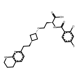 O=C(N[C@@H](CCO[C@H]1C[C@H](CCc2ccc3c(n2)NCCC3)C1)C(=O)O)c1ccc(F)cc1Cl